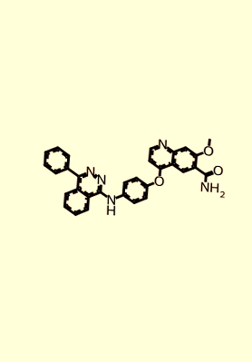 COc1cc2nccc(Oc3ccc(Nc4nnc(-c5ccccc5)c5ccccc45)cc3)c2cc1C(N)=O